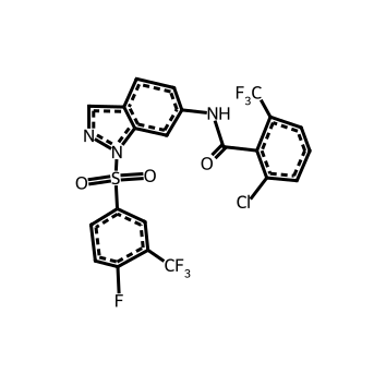 O=C(Nc1ccc2cnn(S(=O)(=O)c3ccc(F)c(C(F)(F)F)c3)c2c1)c1c(Cl)cccc1C(F)(F)F